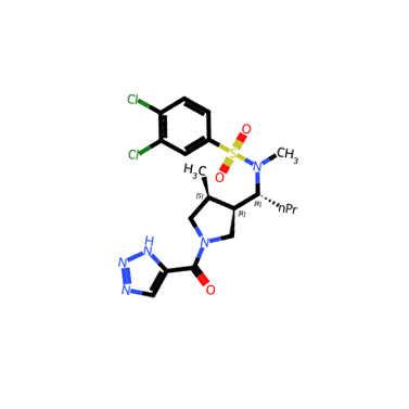 CCC[C@H]([C@H]1CN(C(=O)c2cnn[nH]2)C[C@H]1C)N(C)S(=O)(=O)c1ccc(Cl)c(Cl)c1